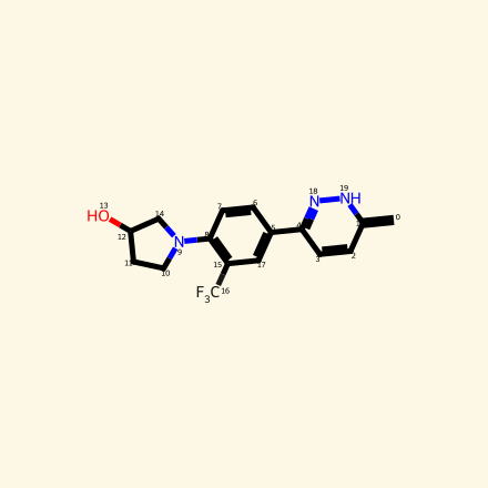 C=C1C=CC(c2ccc(N3CCC(O)C3)c(C(F)(F)F)c2)=NN1